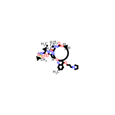 C=C[C@@H]1C[C@]1(NC(=O)[C@@H]1C[C@@H]2CN1C(=O)[C@H](C(C)(C)C)NC(=O)O[C@@H]1C[C@H]1CCCCCc1c(nc3cc(C)ccc3c1OCCCN1CCCC1)O2)C(=O)NS(=O)(=O)C1(C)CC1